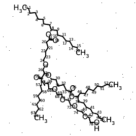 CCCCCCCCC(CCCCCCCC)OC(=O)CCCCCOCC(OCCCCCC(=O)OC(CCCCCCCC)CCCCCCCC)C(=O)N(CCCCCCCC)CCOCCOCCOCCOCCO